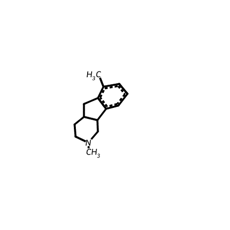 Cc1cccc2c1CC1CCN(C)CC21